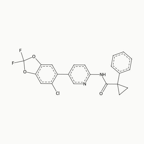 O=C(Nc1ccc(-c2cc3c(cc2Cl)OC(F)(F)O3)cn1)C1(c2ccccc2)CC1